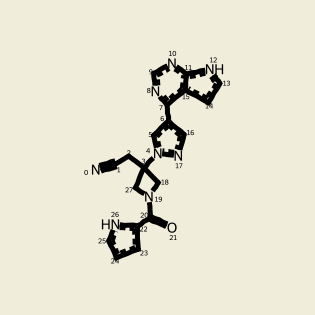 N#CCC1(n2cc(-c3ncnc4[nH]ccc34)cn2)CN(C(=O)c2ccc[nH]2)C1